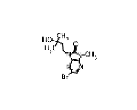 Cn1c(=O)n(CCC(C)(C)O)c2nc(Br)cnc21